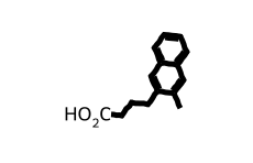 Cc1cc2ccccc2cc1CCCC(=O)O